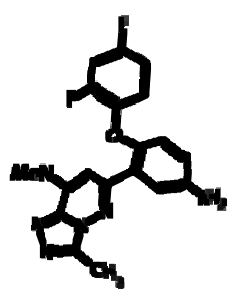 CNc1cc(-c2cc(N)ccc2Oc2ccc(F)cc2F)nn2c(C)nnc12